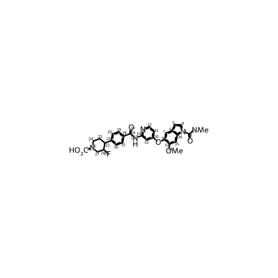 CNC(=O)n1ccc2cc(Oc3ccnc(NC(=O)c4ccc(C5CCN(C(=O)O)CC5F)cc4)c3)c(OC)cc21